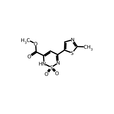 COC(=O)C1=CC(c2cnc(C)s2)=NS(=O)(=O)N1